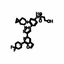 O=S(=O)(CCO)Nc1ccc(-n2cc(-c3cc4ccoc4c(N4CCC(F)(F)CC4)n3)nn2)c(N2CCC3(CC2)CC3)c1